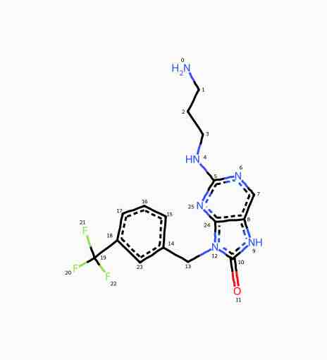 NCCCNc1ncc2[nH]c(=O)n(Cc3cccc(C(F)(F)F)c3)c2n1